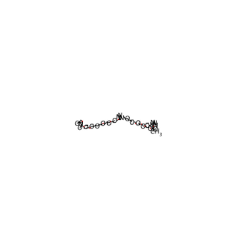 CS(=O)(=O)c1nnnn1-c1ccc(OCCOCCOCCOCCn2cc(COCCOCCOCCOCCOCc3ccc(C(=O)N4CCC4=O)cc3)nn2)cc1